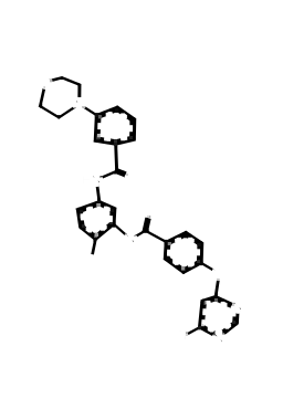 Cc1ccc(NC(=O)c2cccc(N3CCOCC3)c2)cc1NC(=O)c1ccc(Oc2cc(Cl)ncn2)cc1